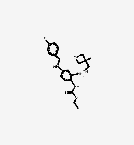 CC1(CO)COC1.CCOC(=O)Nc1ccc(NCc2ccc(F)cc2)cc1N